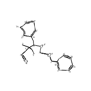 CC(C)(C=O)C(OCOCc1ccccc1)c1ccccc1